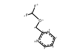 FC(F)OCc1nc[c]cn1